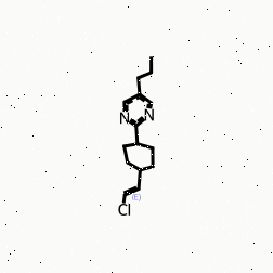 CCCc1cnc(C2CCC(/C=C/Cl)CC2)nc1